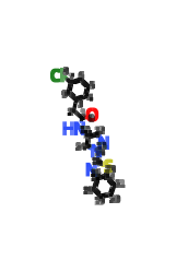 O=C(Cc1cccc(Cl)c1)Nc1cnn(-c2nc3ccccc3s2)c1